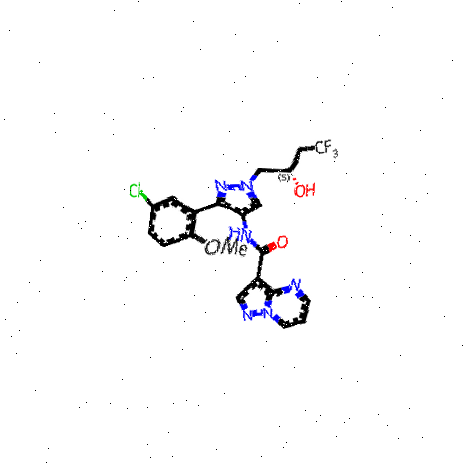 COc1ccc(Cl)cc1-c1nn(C[C@@H](O)CC(F)(F)F)cc1NC(=O)c1cnn2cccnc12